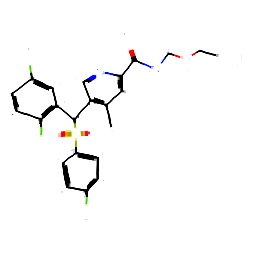 CCOC(=O)COCNC(=O)c1cc(C)c(C(c2cc(F)ccc2F)S(=O)(=O)c2ccc(F)cc2)cn1